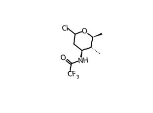 C[C@@H]1[C@@H](NC(=O)C(F)(F)F)CC(Cl)O[C@H]1C